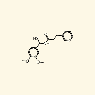 COc1ccc(C(S)NC(=O)CCc2ccccc2)cc1OC